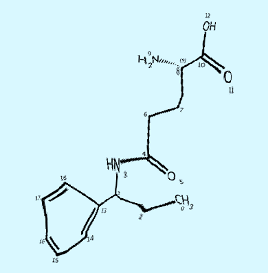 CCC(NC(=O)CC[C@H](N)C(=O)O)c1ccccc1